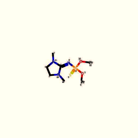 CC(C)OP(=S)(N=C1N(C)CCN1C)OC(C)C